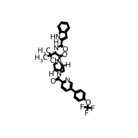 CC(C)(C)[C@H](NC(=O)c1cc2ccccc2[nH]1)C(=O)N1C[C@@H]2C[C@H]1CN2C(=O)c1ccc(-c2ccc(OC(F)(F)F)cc2)cn1